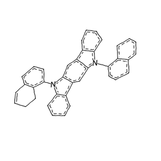 C1=Cc2cccc(-n3c4ccccc4c4cc5c(cc43)c3ccccc3n5-c3cccc4ccccc34)c2CC1